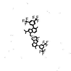 Cc1ccc2c(c1-c1cc(C(F)(F)F)cc(C(F)(F)F)c1)C=C(C(C)C)C2C[SiH2]CC1C(C(C)C)=Cc2c1ccc(C)c2-c1cc(C(F)(F)F)cc(C(F)(F)F)c1